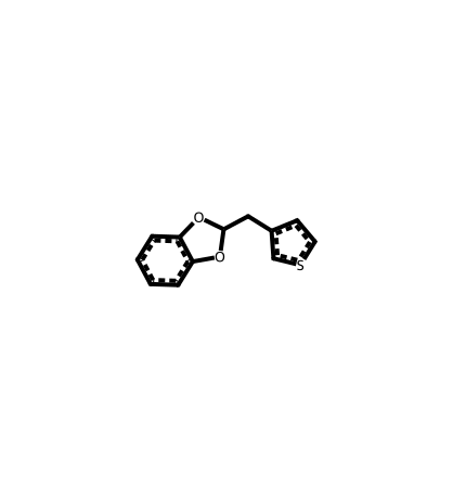 c1ccc2c(c1)OC(Cc1ccsc1)O2